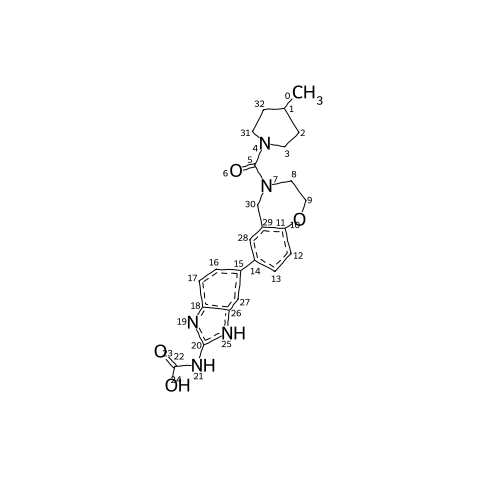 CC1CCN(C(=O)N2CCOc3ccc(-c4ccc5nc(NC(=O)O)[nH]c5c4)cc3C2)CC1